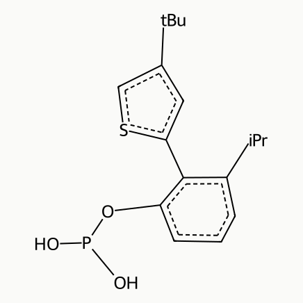 CC(C)c1cccc(OP(O)O)c1-c1cc(C(C)(C)C)cs1